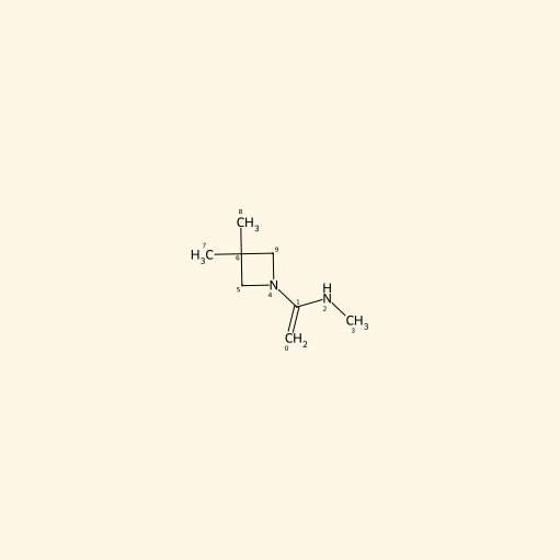 C=C(NC)N1CC(C)(C)C1